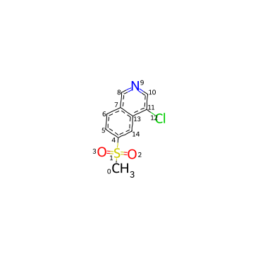 CS(=O)(=O)c1ccc2cncc(Cl)c2c1